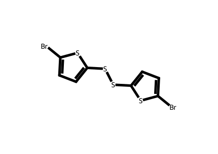 Brc1ccc(SSc2ccc(Br)s2)s1